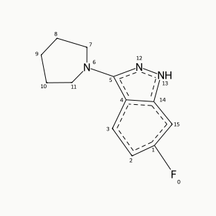 Fc1ccc2c(N3CCCCC3)n[nH]c2c1